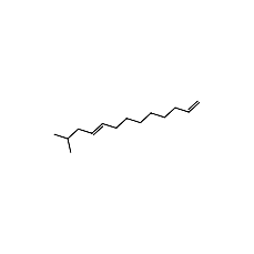 C=CCCCCCCC=CCC(C)C